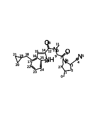 CC1CC(C#N)N(C(=O)CN(C)C(=O)c2cc3c(CC4CC4)cccc3[nH]2)C1